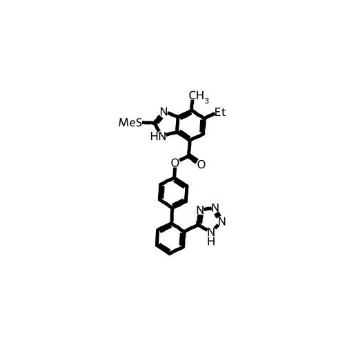 CCc1cc(C(=O)Oc2ccc(-c3ccccc3-c3nnn[nH]3)cc2)c2[nH]c(SC)nc2c1C